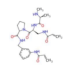 C=CC(=O)NC[C@H](NC(=O)[C@H](C)NC)C(=O)N1CCCC1C(=O)NCc1cccc(NC(=O)C=C)c1